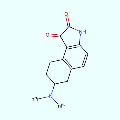 CCCN(CCC)C1CCc2c(ccc3c2C(=O)C(=O)N3)C1